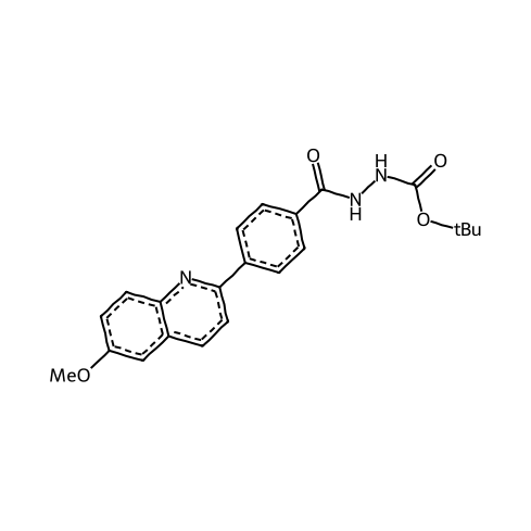 COc1ccc2nc(-c3ccc(C(=O)NNC(=O)OC(C)(C)C)cc3)ccc2c1